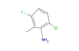 Cc1c(F)ccc(Cl)c1N